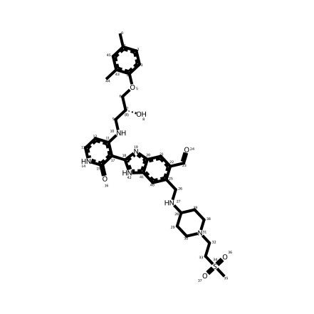 Cc1ccc(OC[C@H](O)CNc2cc[nH]c(=O)c2-c2nc3cc(C=O)c(CNC4CCN(CCS(C)(=O)=O)CC4)cc3[nH]2)c(C)c1